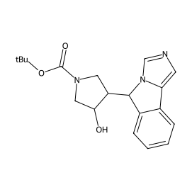 CC(C)(C)OC(=O)N1CC(O)C(C2c3ccccc3-c3cncn32)C1